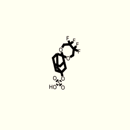 O=S(=O)(O)OC12CC3CC(C1)C1(OCC(F)(F)C(F)(F)CO1)C(C3)C2